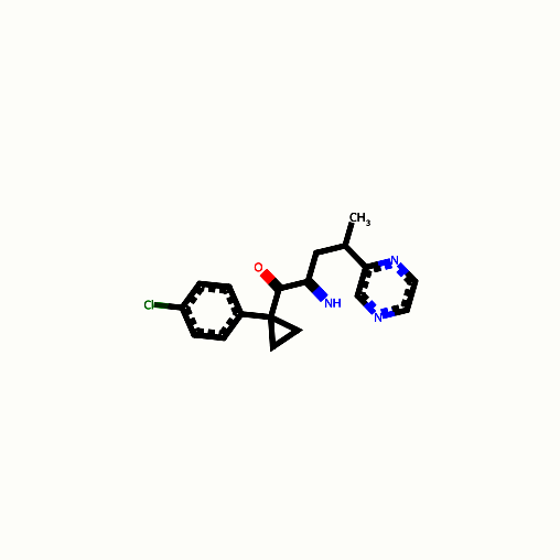 CC(CC(=N)C(=O)C1(c2ccc(Cl)cc2)CC1)c1cnccn1